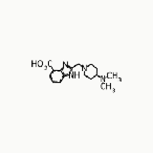 CN(C)C1CCN(Cc2nc3c(C(=O)O)cccc3[nH]2)CC1